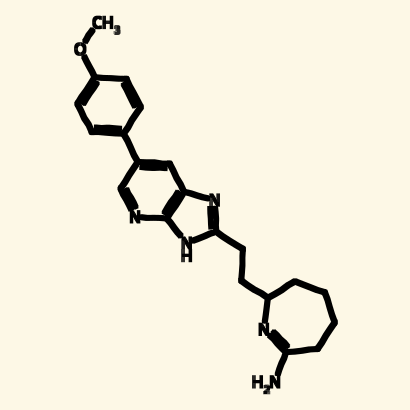 COc1ccc(-c2cnc3[nH]c(CCC4CCCCC(N)=N4)nc3c2)cc1